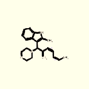 C=C(/C=C\C=C/N)C(c1c(C)[nH]c2ccccc12)N1CCOCC1